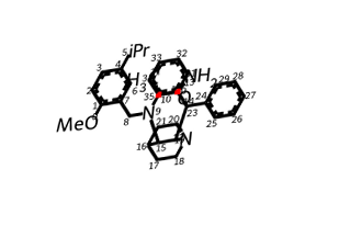 COc1ccc(C(C)C)cc1CN(C(C)C(N)=O)C1C2CCN(CC2)C1C(c1ccccc1)c1ccccc1